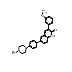 CC(C)N1CCN(c2ccc(-c3ccc4[nH]c(=O)c(-c5cccc(OC(F)(F)F)c5)cc4c3)cc2)CC1